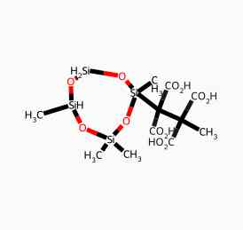 C[SiH]1O[SiH2]O[Si](C)(C(C(=O)O)(C(=O)O)C(C)(C(=O)O)C(=O)O)O[Si](C)(C)O1